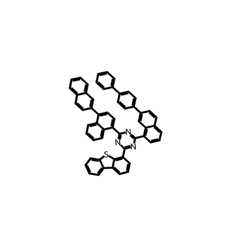 c1ccc(-c2ccc(-c3ccc4cccc(-c5nc(-c6ccc(-c7ccc8ccccc8c7)c7ccccc67)nc(-c6cccc7c6sc6ccccc67)n5)c4c3)cc2)cc1